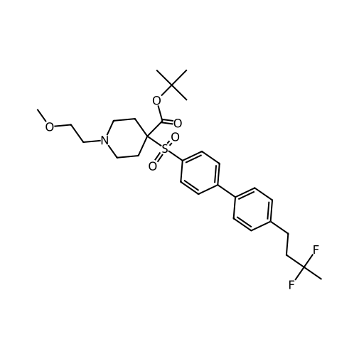 COCCN1CCC(C(=O)OC(C)(C)C)(S(=O)(=O)c2ccc(-c3ccc(CCC(C)(F)F)cc3)cc2)CC1